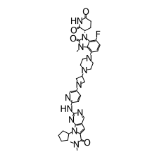 CN(C)C(=O)c1cc2cnc(Nc3ccc(N4CC(N5CCN(c6ccc(F)c7c6n(C)c(=O)n7[C@H]6CCC(=O)NC6=O)CC5)C4)cn3)nc2n1C1CCCC1